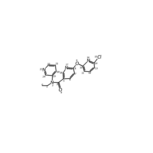 CCN(C(=O)c1ccc(Oc2cccc(Cl)n2)nc1)c1cccnc1